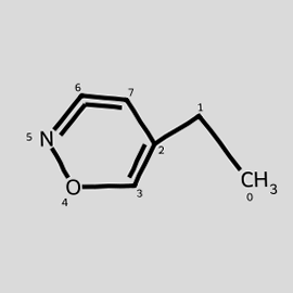 CCC1=CON=C=C1